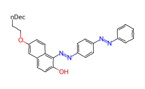 CCCCCCCCCCCCOc1ccc2c(N=Nc3ccc(N=Nc4ccccc4)cc3)c(O)ccc2c1